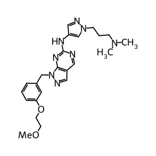 COCCOc1cccc(Cn2ncc3cnc(Nc4cnn(CCCN(C)C)c4)nc32)c1